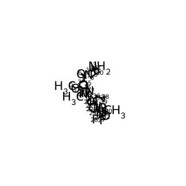 COc1cc(C(=O)N2CC3CCC3(N)C2)cc2nc(-c3cc4ccc(N(C(F)F)S(C)(=O)=O)nc4n3CC3CC3)n(C)c12